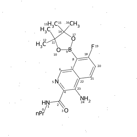 CCCNC(=O)c1ncc2c(B3OC(C)(C)C(C)(C)O3)c(F)ccc2c1N